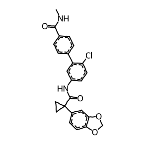 CNC(=O)c1ccc(-c2cc(NC(=O)C3(c4ccc5c(c4)OCO5)CC3)ccc2Cl)cc1